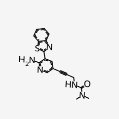 CN(C)C(=O)NCC#Cc1cnc(N)c(-c2nc3ccccc3s2)c1